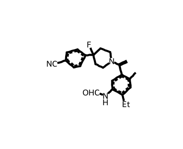 C=C(c1cc(NC=O)c(CC)cc1C)N1CCC(F)(c2ccc(C#N)cc2)CC1